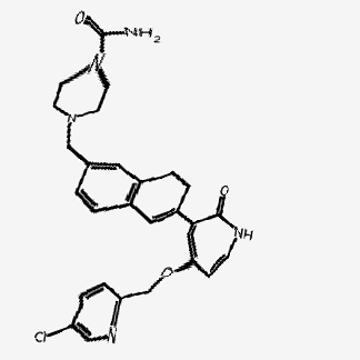 NC(=O)N1CCN(Cc2ccc3c(c2)CCC(c2c(OCc4ccc(Cl)cn4)cc[nH]c2=O)=C3)CC1